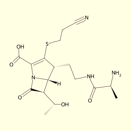 C[C@H](N)C(=O)NCC[C@H]1C(SCCC#N)=C(C(=O)O)N2C(=O)[C@H]([C@@H](C)O)[C@@H]12